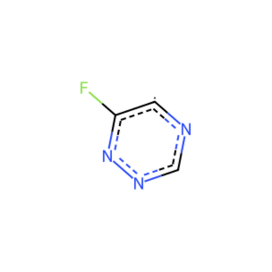 Fc1[c]ncnn1